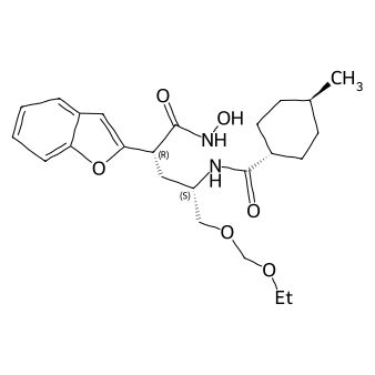 CCOCOC[C@H](C[C@@H](C(=O)NO)c1cc2ccccc2o1)NC(=O)[C@H]1CC[C@H](C)CC1